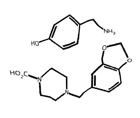 NCc1ccc(O)cc1.O=C(O)N1CCN(Cc2ccc3c(c2)OCO3)CC1